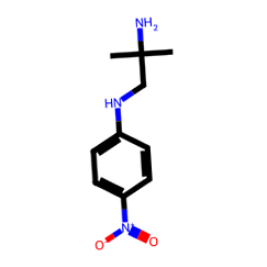 CC(C)(N)CNc1ccc([N+](=O)[O-])cc1